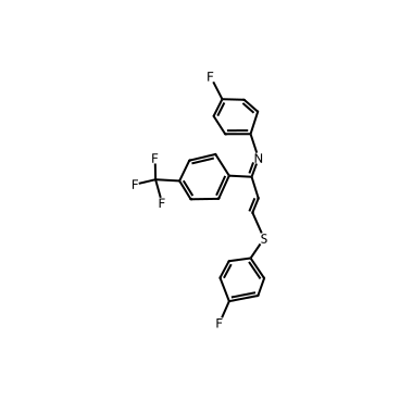 Fc1ccc(N=C(C=CSc2ccc(F)cc2)c2ccc(C(F)(F)F)cc2)cc1